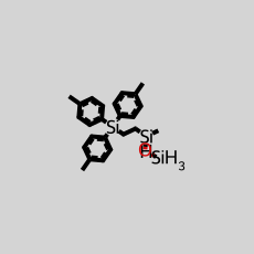 Cc1ccc([Si](CC[SiH](C)O[SiH3])(c2ccc(C)cc2)c2ccc(C)cc2)cc1